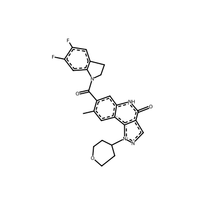 Cc1cc2c(cc1C(=O)N1CCc3cc(F)c(F)cc31)[nH]c(=O)c1cnn(C3CCOCC3)c12